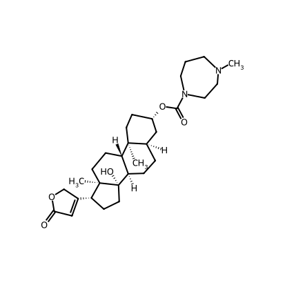 CN1CCCN(C(=O)O[C@H]2CC[C@@]3(C)[C@H](CC[C@@H]4[C@@H]3CC[C@]3(C)[C@@H](C5=CC(=O)OC5)CC[C@]43O)C2)CC1